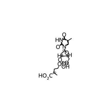 Cc1cn([C@@H]2C[C@H]3O[PH](O)(OCC[C@H](C)C(=O)O)OC[C@@H]3O2)c(=O)[nH]c1=O